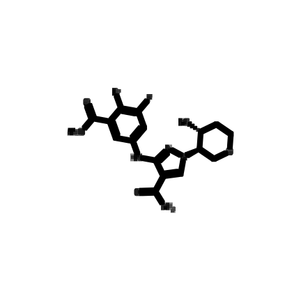 COC(=O)c1cc(Nc2nn([C@@H]3COCC[C@H]3C#N)cc2C(N)=O)cc(F)c1Br